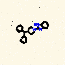 c1ccc(C(c2ccccc2)C2CCN(c3nc4ccccc4[nH]3)CC2)cc1